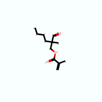 C=C(C)C(=O)OCC(C)(C=O)CCCC